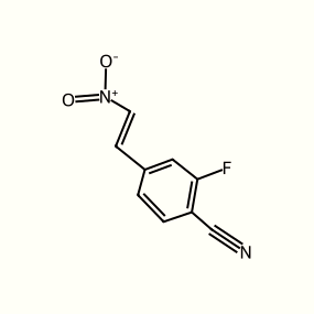 N#Cc1ccc(/C=C/[N+](=O)[O-])cc1F